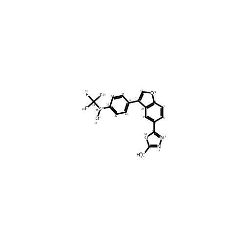 Cc1nnc(-c2ccc3occ(-c4ccc([S+]([O-])C(F)(F)F)cc4)c3c2)o1